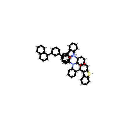 c1cc(-c2ccc(N(c3ccccc3-c3cccc4sc5ccccc5c34)c3ccccc3-n3c4ccccc4c4ccccc43)cc2)cc(-c2cccc3ccccc23)c1